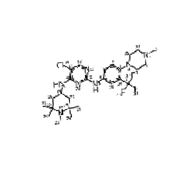 CN1CCN(c2ccc(Nc3ncc(Cl)c(NC4CC(C)(C)N(C)C(C)(C)C4)n3)cc2C(F)(F)F)CC1